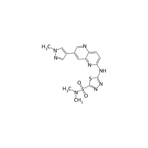 CN(C)S(=O)(=O)c1nnc(Nc2ccc3ncc(-c4cnn(C)c4)cc3n2)s1